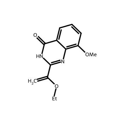 C=C(OCC)c1nc2c(OC)cccc2c(=O)[nH]1